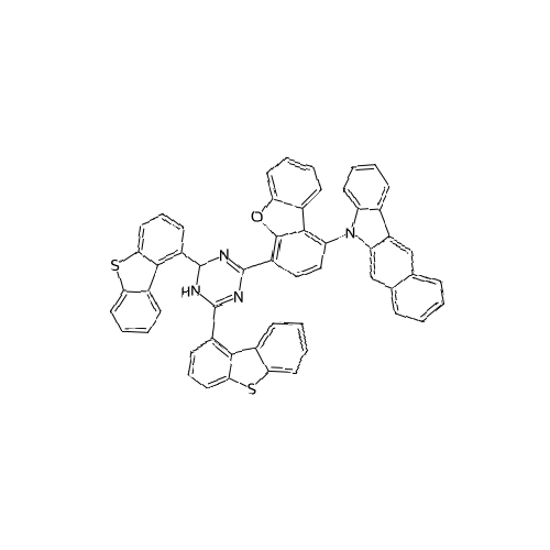 c1ccc2cc3c(cc2c1)c1ccccc1n3-c1ccc(C2=NC(c3cccc4sc5ccccc5c34)NC(c3cccc4sc5ccccc5c34)=N2)c2oc3ccccc3c12